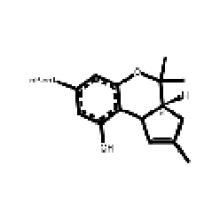 CCCCCc1cc(O)c2c(c1)OC(C)(C)[C@@H]1CC(C)=CC21